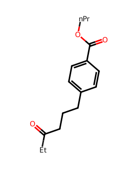 CCCOC(=O)c1ccc(CCCC(=O)CC)cc1